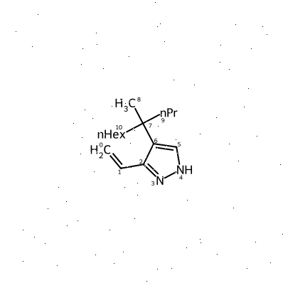 C=Cc1n[nH]cc1C(C)(CCC)CCCCCC